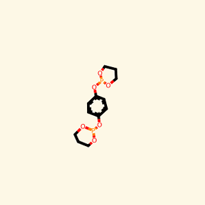 c1cc(OP2OCCCO2)ccc1OP1OCCCO1